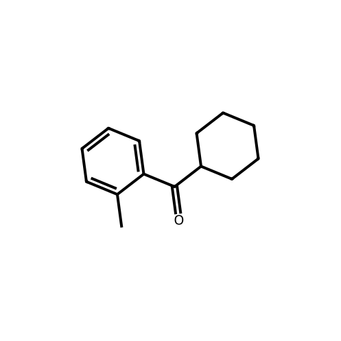 Cc1ccccc1C(=O)C1CCCCC1